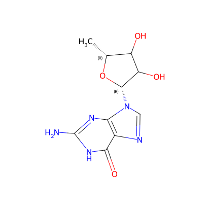 C[C@H]1O[C@@H](n2cnc3c(=O)[nH]c(N)nc32)C(O)C1O